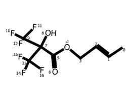 C/C=C/COC(=O)C(O)(C(F)(F)F)C(F)(F)F